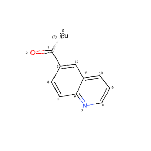 CC[C@@H](C)C(=O)c1ccc2ncccc2c1